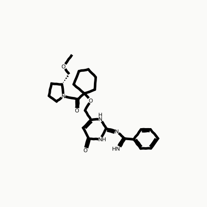 COC[C@H]1CCCN1C(=O)C1(OCc2cc(=O)[nH]/c(=N\C(=N)c3ccccc3)[nH]2)CCCCC1